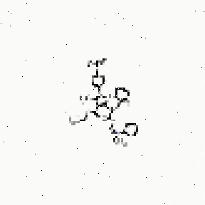 CCOC(=O)c1c(N(Cc2c(F)cccc2F)C(=O)O/N=C(/C)c2ccccc2)sc(-c2ccc([N+](=O)[O-])cc2)c1C